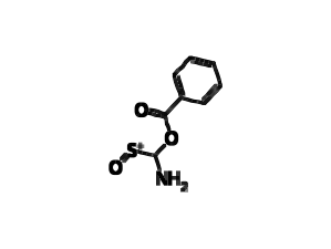 NC(OC(=O)c1ccccc1)[S+]=O